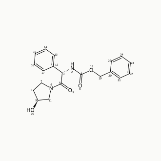 O=C(N[C@H](C(=O)N1CC[C@H](O)C1)c1ccccc1)OCc1ccccc1